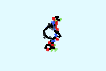 C[C@@H]1CC/C=C\[C@@H]2C[C@@]2(C(=O)NS(=O)(=O)C2(CF)CC2)NC(=O)[C@@H]2CCCN2C(=O)[C@@H](NC(=O)OC2(C(F)(F)F)CCCOC2)[C@H](C)C1